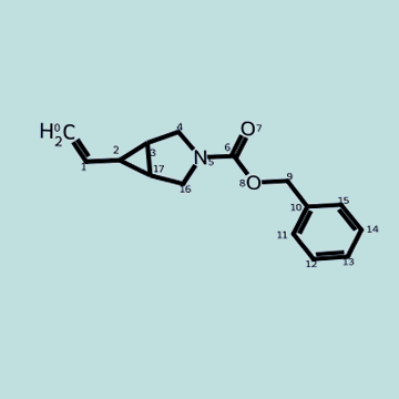 C=CC1C2CN(C(=O)OCc3ccccc3)CC12